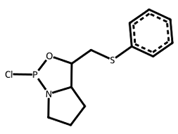 ClP1OC(CSc2ccccc2)C2CCCN21